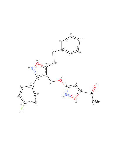 COC(=O)c1cc(OCc2c(-c3ccc(F)cc3)noc2C=Cc2ccccc2)no1